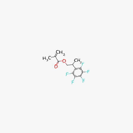 C=C(C)C(=O)OCC(C)c1c(F)c(F)c(F)c(F)c1F